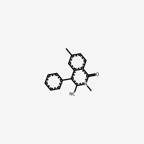 Cc1ccc2c(=O)n(C)c(C#N)c(-c3ccccc3)c2c1